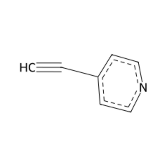 C#Cc1ccncc1